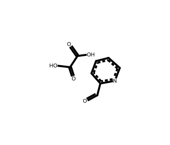 O=C(O)C(=O)O.O=Cc1ccccn1